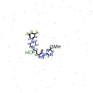 COc1cncc(-n2ncc(C=CCN3CCN(c4cc(F)cc(F)c4)CC3)c2C)n1.Cl